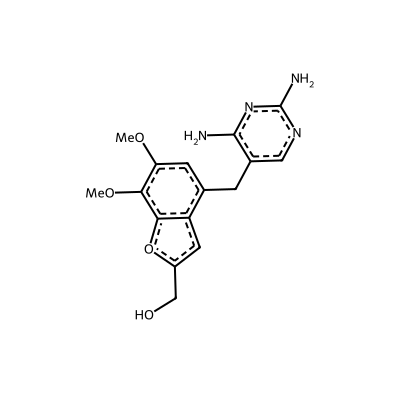 COc1cc(Cc2cnc(N)nc2N)c2cc(CO)oc2c1OC